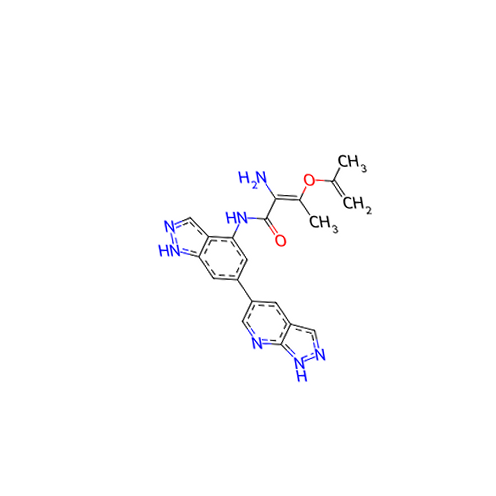 C=C(C)O/C(C)=C(\N)C(=O)Nc1cc(-c2cnc3[nH]ncc3c2)cc2[nH]ncc12